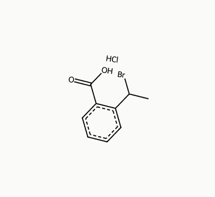 CC(Br)c1ccccc1C(=O)O.Cl